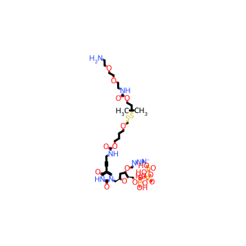 CC(C)(CCOC(=O)NCCOCCOCCN)SSCOCCCCOC(=O)NCC#Cc1cn(C[C@H]2CC(OCN=[N+]=[N-])[C@@H](COP(=O)(O)OP(=O)(O)OP(=O)(O)O)O2)c(=O)[nH]c1=O